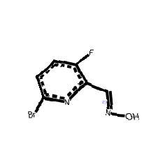 O/N=C/c1nc(Br)ccc1F